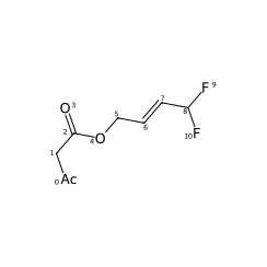 CC(=O)CC(=O)OCC=CC(F)F